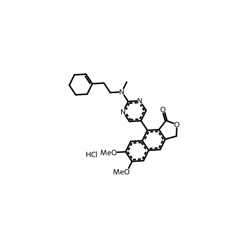 COc1cc2cc3c(c(-c4cnc(N(C)CCC5=CCCCC5)nc4)c2cc1OC)C(=O)OC3.Cl